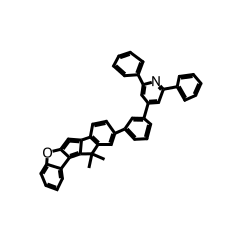 CC1(C)C2=c3c(oc4ccccc34)=C=C2c2ccc(-c3cccc(-c4cc(-c5ccccc5)nc(-c5ccccc5)c4)c3)cc21